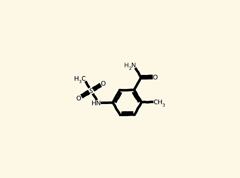 Cc1ccc(NS(C)(=O)=O)cc1C(N)=O